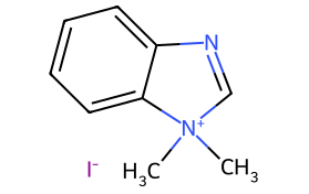 C[N+]1(C)C=Nc2ccccc21.[I-]